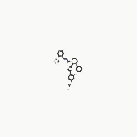 COC(=O)Nc1ccc(-c2c[nH]c(C3C(c4ccccc4)CCCN3C(=O)/C=C/c3cc(Cl)ccc3-n3cnnn3)n2)c(Br)c1